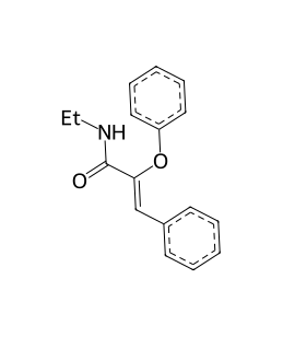 CCNC(=O)C(=Cc1ccccc1)Oc1ccccc1